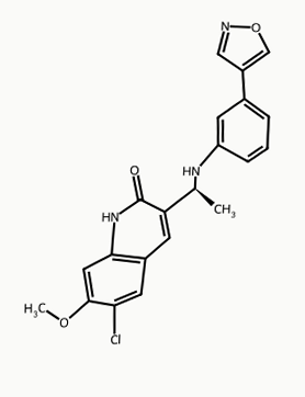 COc1cc2[nH]c(=O)c([C@H](C)Nc3cccc(-c4cnoc4)c3)cc2cc1Cl